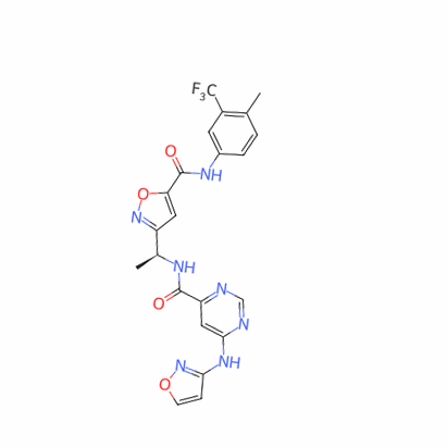 Cc1ccc(NC(=O)c2cc([C@H](C)NC(=O)c3cc(Nc4ccon4)ncn3)no2)cc1C(F)(F)F